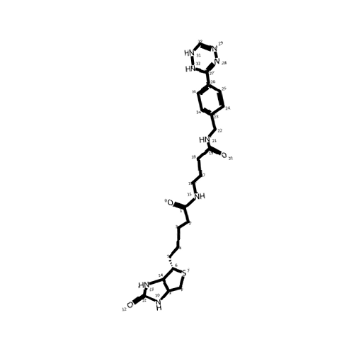 O=C(CCCC[C@@H]1SCC2NC(=O)NC21)NCCCC(=O)NCc1ccc(C2=NN=CNN2)cc1